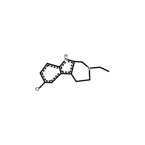 CCN1CCc2c([nH]c3ccc(Cl)cc23)C1